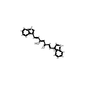 O=C(/C=C(O)/C=C/c1csc2ccccc12)/C=C/c1csc2ccccc12